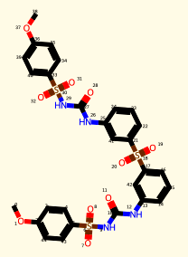 COc1ccc(S(=O)(=O)NC(=O)Nc2cccc(S(=O)(=O)c3cccc(NC(=O)NS(=O)(=O)c4ccc(OC)cc4)c3)c2)cc1